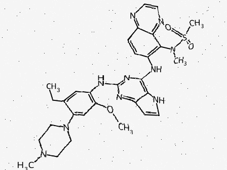 CCc1cc(Nc2nc(Nc3ccc4nccnc4c3N(C)S(C)(=O)=O)c3[nH]ccc3n2)c(OC)cc1N1CCN(C)CC1